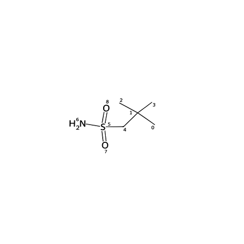 CC(C)(C)CS(N)(=O)=O